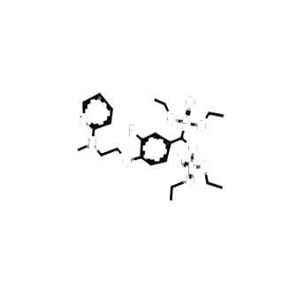 CCOP(=O)(OCC)OC(c1ccc(OCCN(C)c2ccccn2)c(F)c1)P(=O)(OCC)OCC